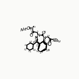 CON(C)C(=O)CN1N=C(C2CCCCC2)c2ccccc2N(CC(=O)C(C)(C)C)C1=O